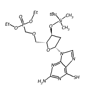 CCOP(=O)(COC[C@H]1O[C@@H](n2cnc3c(S)nc(N)nc32)C[C@@H]1O[Si](C)(C)C(C)(C)C)OCC